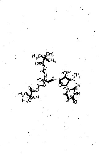 COC1C(O)[C@@H](/C=C/P(=O)(OCOC(=O)C(C)(C)C)OCOC(=O)C(C)(C)C)O[C@H]1N1C=CC(=O)NC1O